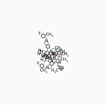 Cc1cc(F)ccc1CN1CCc2cc(-c3c(Cn4cnnc4C)nc(C)c([C@H](OC(C)(C)C)C(=O)OC(=O)[C@@H](OC(C)(C)C)c4c(C)nc(Cn5ncnc5C)c(-c5ccc6c(c5)CCN(Cc5ccc(F)cc5C)C6)c4N4CCC(C)(C)CC4)c3N3CCC(C)(C)CC3)ccc2C1